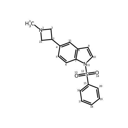 CN1CC(c2ccc3c(ccn3S(=O)(=O)c3ccccc3)c2)C1